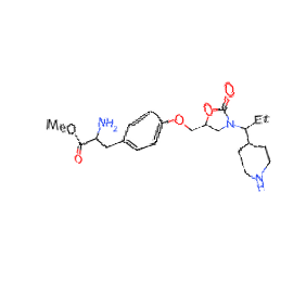 CCC(C1CCNCC1)N1CC(COc2ccc(CC(N)C(=O)OC)cc2)OC1=O